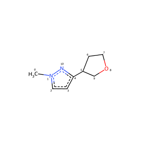 Cn1ccc(C2CCOC2)n1